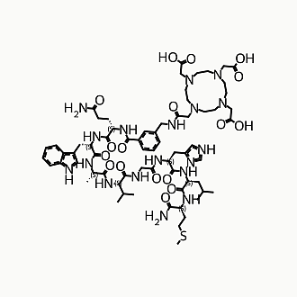 CSCC[C@H](NC(=O)[C@H](CC(C)C)NC(=O)[C@H](Cc1c[nH]cn1)NC(=O)CNC(=O)[C@@H](NC(=O)[C@H](C)NC(=O)[C@H](Cc1c[nH]c2ccccc12)NC(=O)[C@H](CCC(N)=O)NC(=O)c1cccc(CNC(=O)CN2CCN(CC(=O)O)CCN(CC(=O)O)CCN(CC(=O)O)CC2)c1)C(C)C)C(N)=O